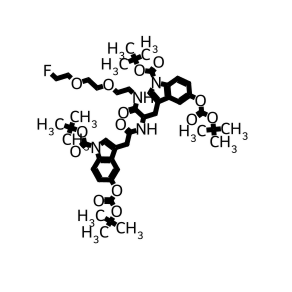 CC(C)(C)OC(=O)Oc1ccc2c(c1)c(CC(=O)NC(Cc1cn(C(=O)OC(C)(C)C)c3ccc(OC(=O)OC(C)(C)C)cc13)C(=O)NCCOCCOCCF)cn2C(=O)OC(C)(C)C